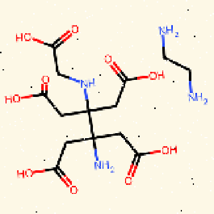 NC(CC(=O)O)(CC(=O)O)C(CC(=O)O)(CC(=O)O)NCC(=O)O.NCCN